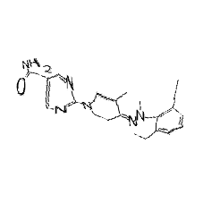 CCc1cccc(CC)c1N(C)/N=C1/CCN(c2ncc(C(N)=O)cn2)CC1C